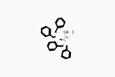 O=[PH]1O[Si](Cc2ccccc2)(Cc2ccccc2)C[Si](Cc2ccccc2)(Cc2ccccc2)O1